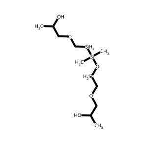 CC(O)COC[SiH2]O[Si](C)(C)[SiH2]COCC(C)O